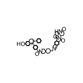 O=C1CCC(N2C(=O)c3cc4c(cc3C2=O)CN(CC2CCC3(CC2)CCN(C(=O)c2ccc([C@@H]5c6ccc(O)cc6CC[C@@H]5c5ccccc5)cc2)CC3)C4)C(=O)N1